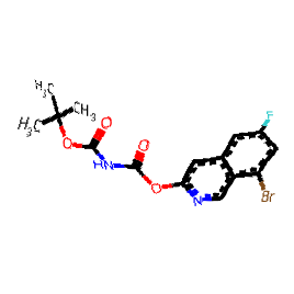 CC(C)(C)OC(=O)NC(=O)Oc1cc2cc(F)cc(Br)c2cn1